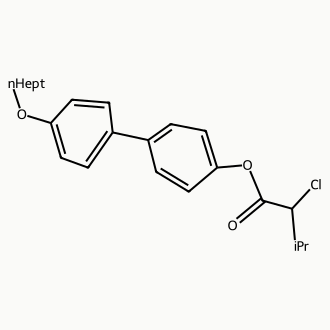 CCCCCCCOc1ccc(-c2ccc(OC(=O)C(Cl)C(C)C)cc2)cc1